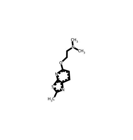 Cc1nc2ccc(OCCN(C)C)nc2s1